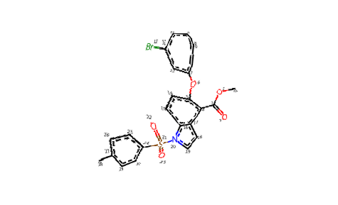 COC(=O)c1c(Oc2cccc(Br)c2)ccc2c1ccn2S(=O)(=O)c1ccc(C)cc1